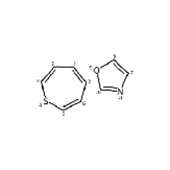 C1=CC=CSC=C1.c1cocn1